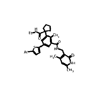 CCNC(=O)C1(c2cc(-c3ccc(C(C)=O)s3)cc(C(=O)NCc3c(C)cc(C)[nH]c3=O)c2C)CCCC1